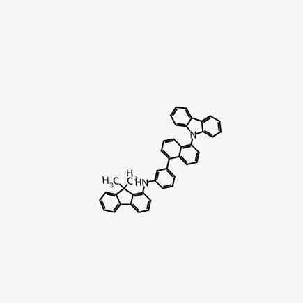 CC1(C)c2ccccc2-c2cccc(Nc3cccc(-c4cccc5c(-n6c7ccccc7c7ccccc76)cccc45)c3)c21